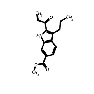 CCCc1c(C(=O)CC)[nH]c2cc(C(=O)OC)ccc12